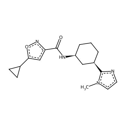 Cn1ccnc1[C@@H]1CCC[C@H](NC(=O)c2cc(C3CC3)on2)C1